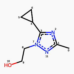 Cc1nc(C2CC2)n(CCO)n1